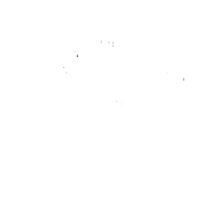 O=C(c1cc(Cl)ccc1[N+](=O)[O-])c1c[nH]nc1C(c1ccccc1)(c1ccccc1)c1ccccc1